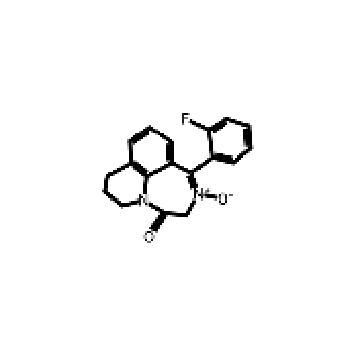 O=C1C[N+]([O-])=C(c2ccccc2F)c2cccc3c2N1CCC3